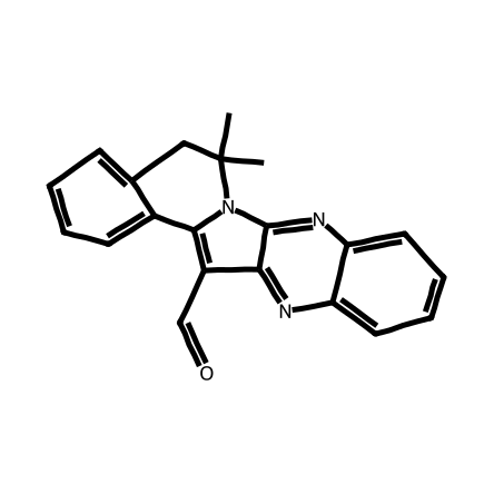 CC1(C)Cc2ccccc2-c2c(C=O)c3nc4ccccc4nc3n21